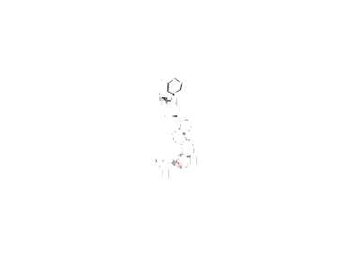 COC[C@]12CC[C@@](C)(O)C[C@@H]1CC[C@H]1[C@@H]3CC[C@H](C(=O)Cn4nnc5c(Cl)cccc54)[C@@]3(C)CC[C@@]12C